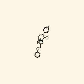 O=C1c2cc(COc3ccccc3)nn2CCN1c1ccncc1